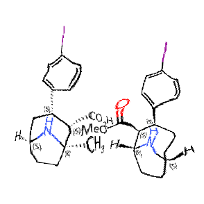 COC(=O)[C@H]1[C@@H](c2ccc(I)cc2)C[C@@H]2CC[C@H]1N2.C[C@@]12CC[C@@H](C[C@H](c3ccc(I)cc3)[C@@H]1C(=O)O)N2